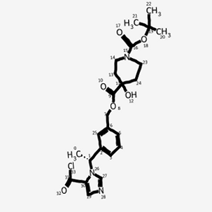 C[C@H](c1cccc(COC(=O)C2(O)CCN(C(=O)OC(C)(C)C)CC2)c1)n1cncc1C(=O)Cl